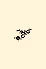 CC(=O)N1CCc2nc(N3CCC(Oc4ccc(F)cc4F)CC3)c(-c3cnn([C@@H](C)C#N)c3)nc2C1